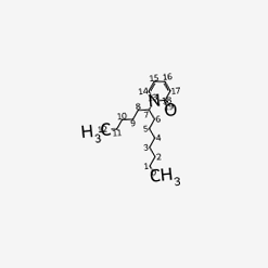 CCCCCCCC(CCCCC)n1ccccc1=O